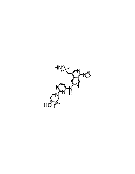 C[C@@H]1CCN1c1ncc(CC2(C)CNC2)c2cc(Nc3ccnc(N4CC[C@@H](O)[C@@](C)(F)C4)n3)ncc12